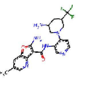 Cc1cnc2c(C(=O)Nc3cnccc3N3CC(N)CC(C(F)(F)F)C3)c(N)oc2c1